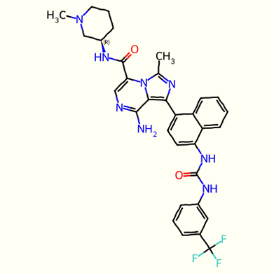 Cc1nc(-c2ccc(NC(=O)Nc3cccc(C(F)(F)F)c3)c3ccccc23)c2c(N)ncc(C(=O)N[C@@H]3CCCN(C)C3)n12